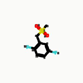 CS(=O)(=O)[CH]c1cc(F)ccc1F